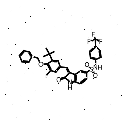 CC(C)(C)c1cc(C=C2C(=O)Nc3ccc(S(=O)(=O)Nc4ccc(C(F)(F)F)cc4)cc32)cc(I)c1OCc1ccccc1